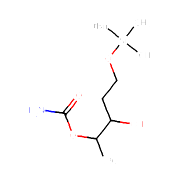 CC(C)(C)C(OC(N)=O)C(O)CCO[Si](C)(C)C(C)(C)C